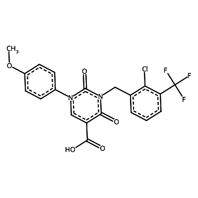 COc1ccc(-n2cc(C(=O)O)c(=O)n(Cc3cccc(C(F)(F)F)c3Cl)c2=O)cc1